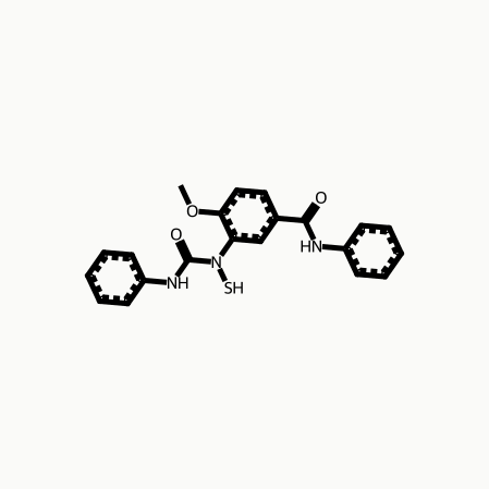 COc1ccc(C(=O)Nc2ccccc2)cc1N(S)C(=O)Nc1ccccc1